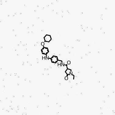 CCN1CC(C(=O)NCc2ccc(Nc3ccc(OC4CCCCC4)cc3)cc2)CC1=O